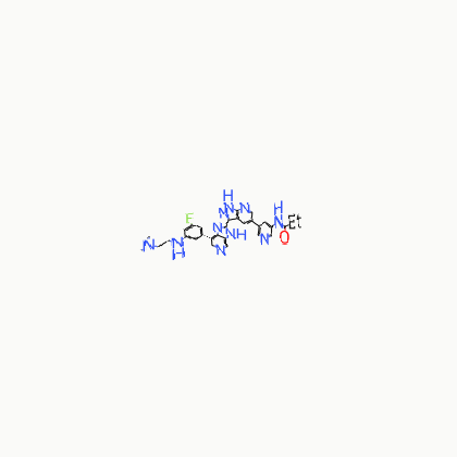 CCC(=O)Nc1cncc(-c2cnc3[nH]nc(-c4nc5c(-c6cc(F)cc(NCCN(C)C)c6)cncc5[nH]4)c3c2)c1